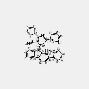 N#Cc1c(-c2ccccc2)nc(-c2ccccc2)nc1-n1c2ccccc2c2ccc3c4ccccc4[nH]c3c21